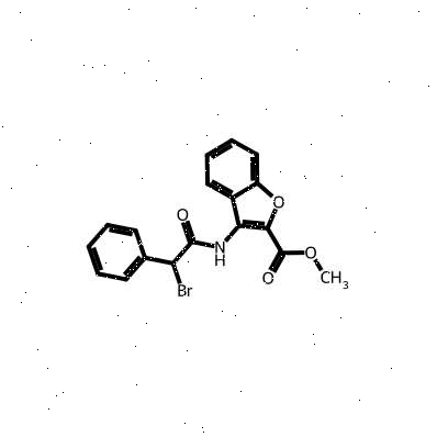 COC(=O)c1oc2ccccc2c1NC(=O)C(Br)c1ccccc1